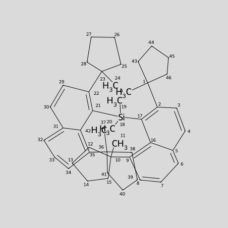 CC1(c2ccc3cccc(C4(C)CCCC4)c3c2[Si](C)(C)c2c(C3(C)CCCC3)ccc3cccc(C4(C)CCCC4)c23)CCCC1